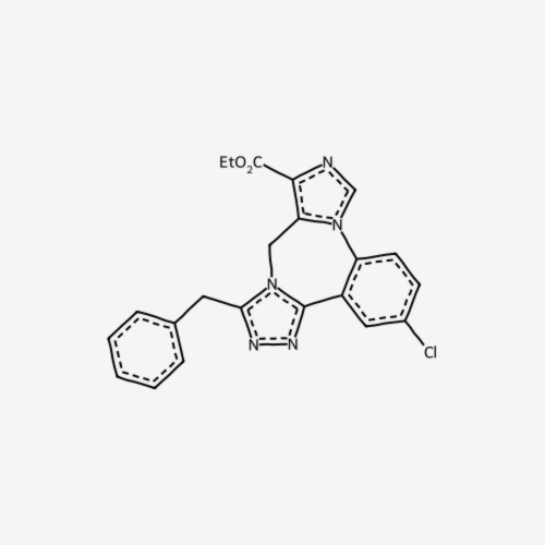 CCOC(=O)c1ncn2c1Cn1c(Cc3ccccc3)nnc1-c1cc(Cl)ccc1-2